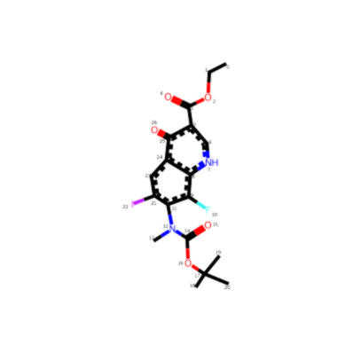 CCOC(=O)c1c[nH]c2c(F)c(N(C)C(=O)OC(C)(C)C)c(I)cc2c1=O